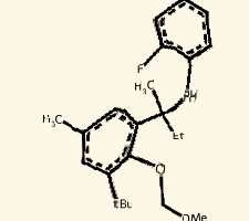 CCC(C)(Pc1ccccc1F)c1cc(C)cc(C(C)(C)C)c1OCOC